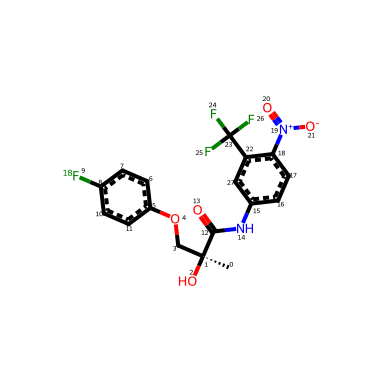 C[C@](O)(COc1ccc([18F])cc1)C(=O)Nc1ccc([N+](=O)[O-])c(C(F)(F)F)c1